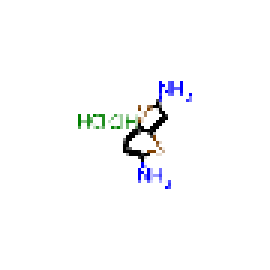 Cl.Cl.NC1=CC=C2SC(N)C=C2S1